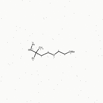 CCC(C)(CCOCCOC)NC(C)C